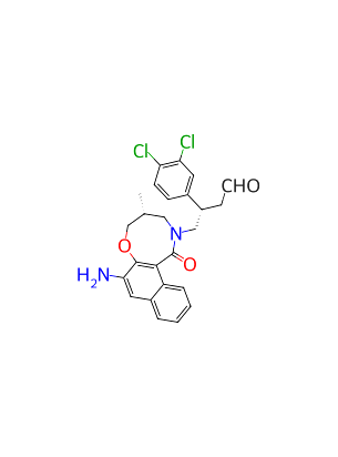 C[C@H]1COc2c(N)cc3ccccc3c2C(=O)N(C[C@@H](CC=O)c2ccc(Cl)c(Cl)c2)C1